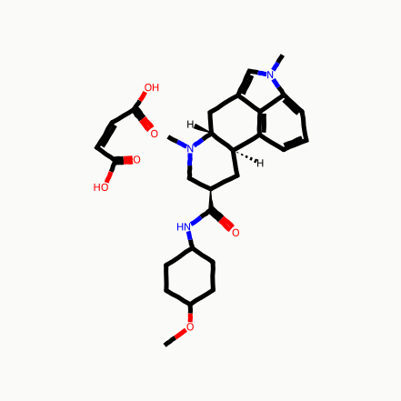 COC1CCC(NC(=O)[C@@H]2C[C@@H]3c4cccc5c4c(cn5C)C[C@H]3N(C)C2)CC1.O=C(O)/C=C\C(=O)O